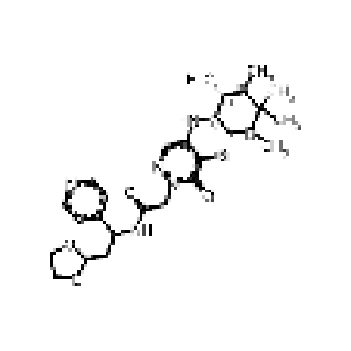 C[C@@H]1[C@@H](C)C(C)(C)[C@@H](C)C[C@H]1Nc1cnn(CC(=O)NC(CC2OCCO2)c2ccncc2)c(=O)c1Br